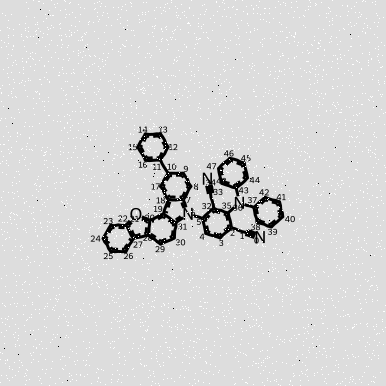 N#Cc1ccc(-n2c3ccc(-c4ccccc4)cc3c3c4oc5ccccc5c4ccc32)c(C#N)c1N(c1ccccc1)c1ccccc1